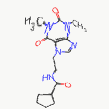 Cn1c(=O)c2c(ncn2CCNC(=O)C2CCCC2)n(C)c1=O